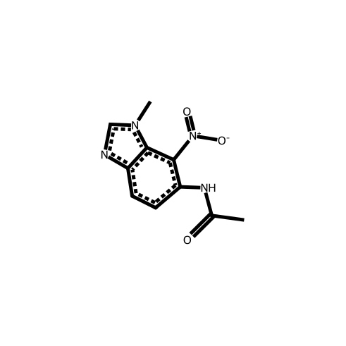 CC(=O)Nc1ccc2ncn(C)c2c1[N+](=O)[O-]